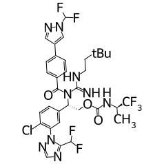 C[C@@H](NC(=O)OC[C@H](c1ccc(Cl)c(-n2ncnc2C(F)F)c1)N(C(=N)NCCC(C)(C)C)C(=O)c1ccc(-c2cnn(C(F)F)c2)cc1)C(F)(F)F